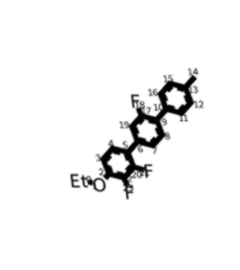 CCOc1ccc(-c2ccc(-c3ccc(C)cc3)c(F)c2)c(F)c1F